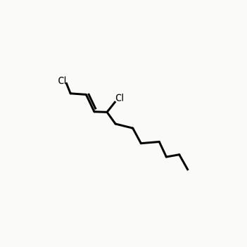 CCCCCCCC(Cl)/C=C/CCl